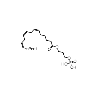 CCCCC/C=C\C/C=C\C/C=C\CCCCC(=O)OCCCOP(=O)(O)O